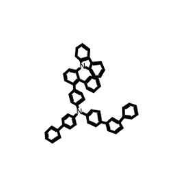 C1=Cc2c(n(-c3cccc(-c4ccc(N(c5ccc(-c6ccccc6)cc5)c5ccc(-c6cccc(-c7ccccc7)c6)cc5)cc4)c3-c3ccccc3)c3ccccc23)CC1